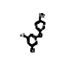 CC(C)c1ccc(Oc2cc(Cl)cc(Cl)c2)cc1